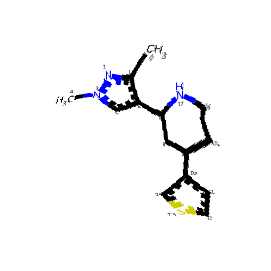 Cc1nn(C)cc1C1CC(c2ccsc2)CCN1